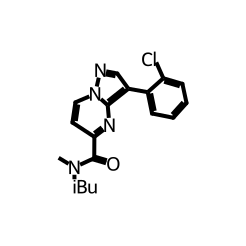 CCC(C)N(C)C(=O)c1ccn2ncc(-c3ccccc3Cl)c2n1